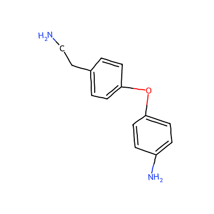 NCCc1ccc(Oc2ccc(N)cc2)cc1